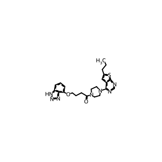 CCCc1cc2c(N3CCN(C(=O)CCCOc4cccc5[nH]nnc45)CC3)ncnc2s1